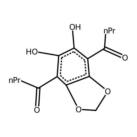 CCCC(=O)c1c(O)c(O)c(C(=O)CCC)c2c1OCO2